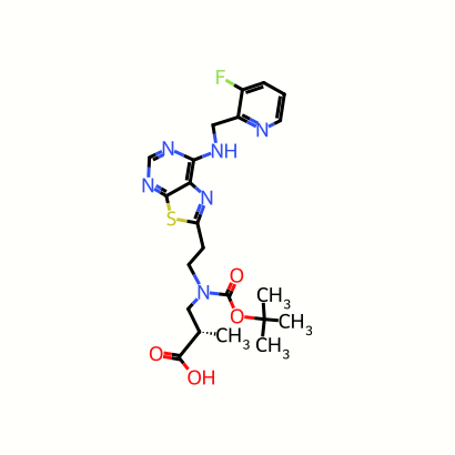 C[C@@H](CN(CCc1nc2c(NCc3ncccc3F)ncnc2s1)C(=O)OC(C)(C)C)C(=O)O